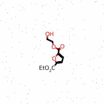 CCOC(=O)c1ccc(C(=O)OCCO)o1